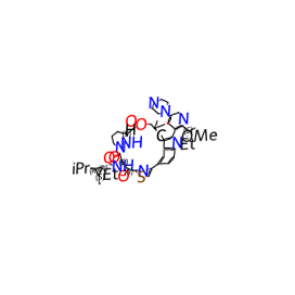 CCO[C@@H]1c2nc(cs2)-c2ccc3c(c2)c(c(-c2cc(N4CCN(C)CC4)cnc2[C@H](C)OC)n3CC)CC(C)(C)COC(=O)[C@@H]2CCCN(N2)C(=O)[C@H]1NC(=O)[C@@H]1[C@@H](C)[C@H]1C(C)C